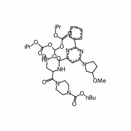 CCCCOC(=O)N1CCN(C(=O)C(C[PH](=O)OC(OC(=O)OC(C)C)OC(=O)OC(C)C)NC(=O)c2cc(N3CCC(OC)C3)nc(-c3ccccc3)n2)CC1